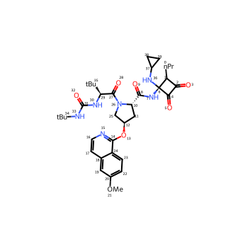 CCCC1C(=O)C(=O)[C@]1(NC(=O)[C@@H]1C[C@@H](Oc2nccc3cc(OC)ccc23)CN1C(=O)[C@@H](NC(=O)NC(C)(C)C)C(C)(C)C)NC1CC1